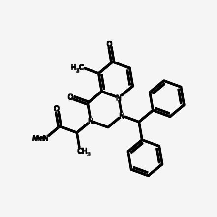 CNC(=O)C(C)N1CN(C(c2ccccc2)c2ccccc2)n2ccc(=O)c(C)c2C1=O